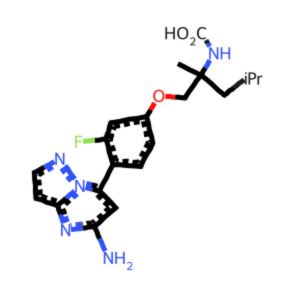 CC(C)CC(C)(COc1ccc(-c2cc(N)nc3ccnn23)c(F)c1)NC(=O)O